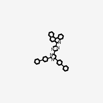 c1ccc(-c2ccc(-c3cc(-c4cnc(-c5nc6ccccc6c6c5ccc5ccccc56)cn4)nc(-c4ccc(-c5ccccc5)cc4)n3)cc2)cc1